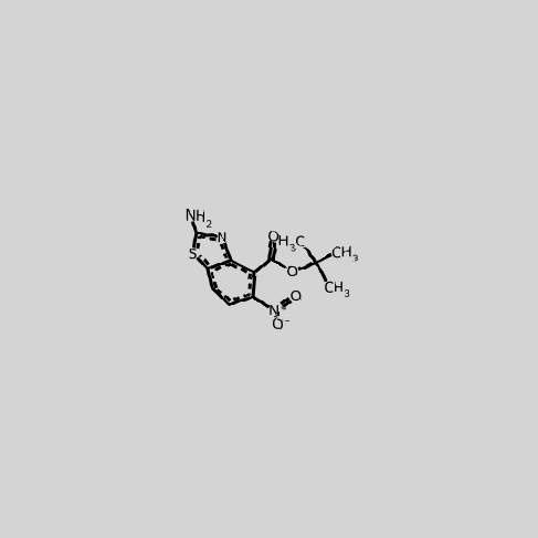 CC(C)(C)OC(=O)c1c([N+](=O)[O-])ccc2sc(N)nc12